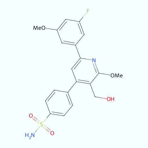 COc1cc(F)cc(-c2cc(-c3ccc(S(N)(=O)=O)cc3)c(CO)c(OC)n2)c1